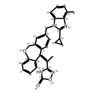 C/C(=C1\c2ccc(Cn3c(C4CC4)nc4c(C)cccc43)cc2COc2ccccc21)c1noc(=O)[nH]1